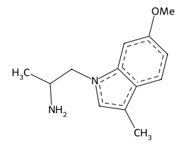 COc1ccc2c(C)cn(CC(C)N)c2c1